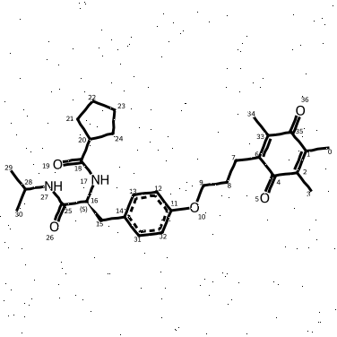 CC1=C(C)C(=O)C(CCCOc2ccc(C[C@H](NC(=O)C3CCCC3)C(=O)NC(C)C)cc2)=C(C)C1=O